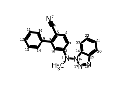 CN(c1ccc(C#N)c(-c2cc[c]cc2)c1)n1nnc2ccccc21